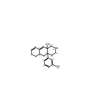 CC12C=C3C=CCCC3CC1(c1cccc(O)c1)CCNC2